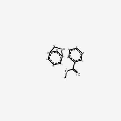 COC(=O)c1ccccc1.c1cc2cc(c1)SC2